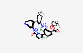 COC1(c2cc(F)c(-c3nc(C(=O)Nc4cnccc4[C@@H]4C[C@H](C)C[C@@H](N)C4)ccc3F)c(F)c2)COC1